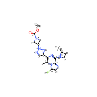 Cc1c(-c2cnn(C3CN(C(=O)OC(C)(C)C)C3)n2)nc(N2CC[C@@H]2C(F)(F)F)c2ncc(F)n12